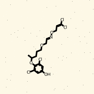 CC(CCCOCC=NOCC=C(Cl)Cl)Oc1c(Cl)cc(O)cc1Cl